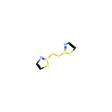 C1=CSS(SSS2=NC=CS2)=N1